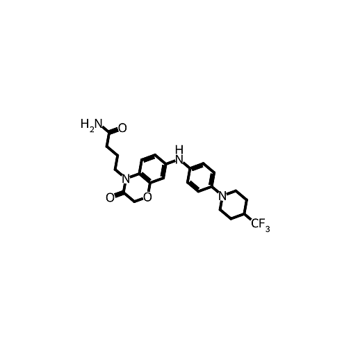 NC(=O)CCCN1C(=O)COc2cc(Nc3ccc(N4CCC(C(F)(F)F)CC4)cc3)ccc21